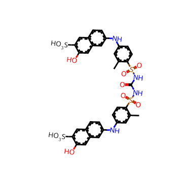 Cc1cc(Nc2ccc3cc(S(=O)(=O)O)c(O)cc3c2)ccc1S(=O)(=O)NC(=O)NS(=O)(=O)c1ccc(Nc2ccc3cc(S(=O)(=O)O)c(O)cc3c2)cc1C